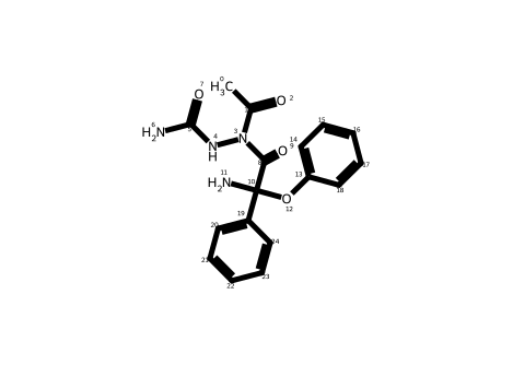 CC(=O)N(NC(N)=O)C(=O)C(N)(Oc1ccccc1)c1ccccc1